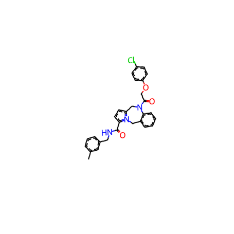 Cc1cccc(CNC(=O)c2ccc3n2Cc2ccccc2N(C(=O)COc2ccc(Cl)cc2)C3)c1